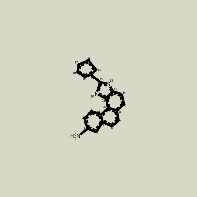 Nc1ccc2c(ccc3ccc4sc(-c5ccccc5)nc4c32)c1